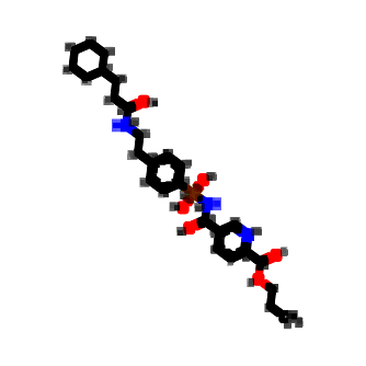 CCCOC(=O)c1ccc(C(=O)NS(=O)(=O)c2ccc(CCNC(=O)CCC3CCCCC3)cc2)cn1